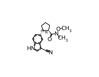 CON(C)C(=O)[C@@H]1CCC[C@H]1c1ccc2[nH]cc(C#N)c2c1